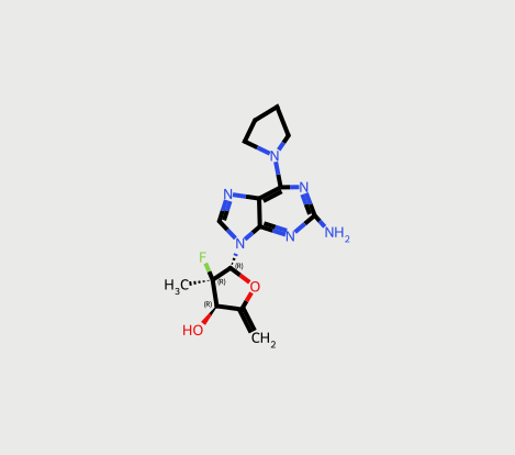 C=C1O[C@@H](n2cnc3c(N4CCCC4)nc(N)nc32)[C@](C)(F)[C@@H]1O